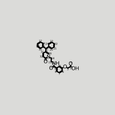 O=C(O)COc1cccc(C(=O)NCCn2cc(C(c3ccccc3)c3ccccc3)ccc2=O)c1